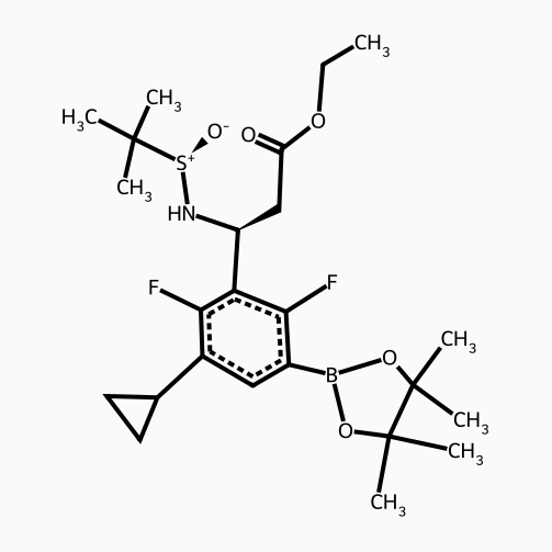 CCOC(=O)C[C@H](N[S@+]([O-])C(C)(C)C)c1c(F)c(B2OC(C)(C)C(C)(C)O2)cc(C2CC2)c1F